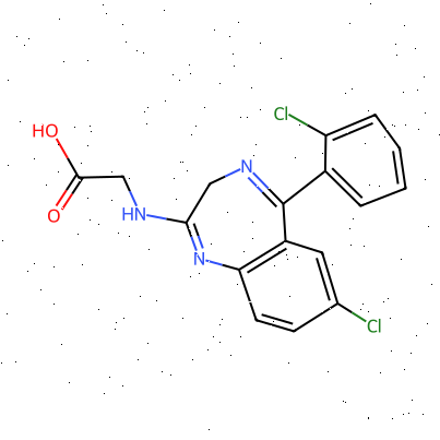 O=C(O)CNC1=Nc2ccc(Cl)cc2C(c2ccccc2Cl)=NC1